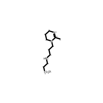 CCOC(=O)CCNCCCN1CCCN=C1C